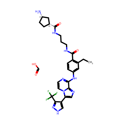 CCc1cc(Nc2nccn3c(-c4c[nH]nc4C(F)(F)F)cnc23)ccc1C(=O)NCCCNC(=O)[C@@H]1CC[C@H](N)C1.O=CO